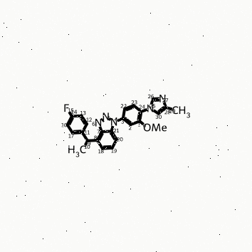 COc1cc(-n2nnc3c(C(C)c4ccc(F)cc4)cccc32)ccc1-n1cnc(C)c1